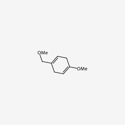 COCC1=CCC(OC)=CC1